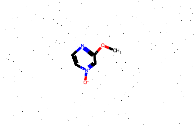 COc1c[n+]([O-])ccn1